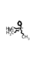 CCCC[N+](CCCC)(CCCC)Cc1ccccc1.[Br-]